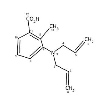 C=CCN(CC=C)c1cccc(C(=O)O)c1C